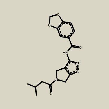 CC(C)CC(=O)N1Cc2n[nH]c(NC(=O)c3ccc4c(c3)OCO4)c2C1